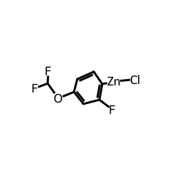 Fc1cc(OC(F)F)cc[c]1[Zn][Cl]